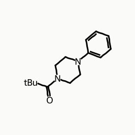 CC(C)(C)C(=O)N1CCN(c2ccccc2)CC1